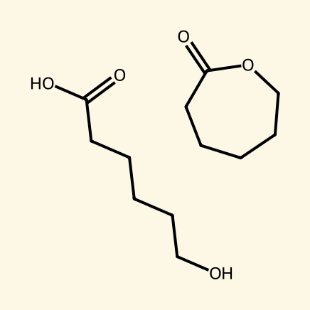 O=C(O)CCCCCO.O=C1CCCCCO1